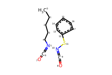 CCCCCN=C=O.O=C=NSc1ccccc1